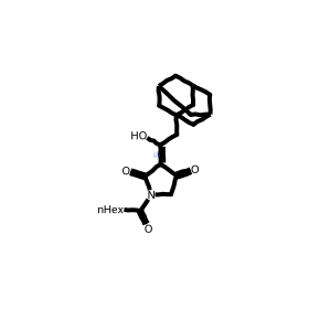 CCCCCCC(=O)N1CC(=O)/C(=C(/O)CC23CC4CC(CC(C4)C2)C3)C1=O